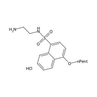 CCCCCOc1ccc(S(=O)(=O)NCCN)c2ccccc12.Cl